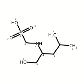 CC(C)CC(CO)NCS(=O)(=O)O